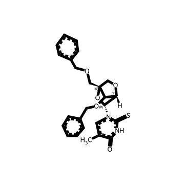 Cc1cn([C@@H]2O[C@]3(COCc4ccccc4)CO[C@H]2C3OCc2ccccc2)c(=S)[nH]c1=O